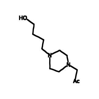 CC(=O)CN1CCN(CCCCO)CC1